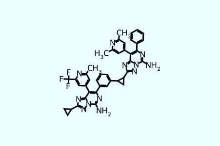 Cc1cc(-c2c(-c3ccccc3)nc(N)n3nc(C4CC4c4cccc(-c5nc(N)n6nc(C7CC7)nc6c5-c5cc(C)nc(C(F)(F)F)c5)c4)nc23)cc(C)n1